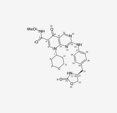 CONC(=O)c1cn(C2CCCCC2)c2nc(Nc3ccc(C[C@H]4COC(=O)N4)cc3)ncc2c1=O